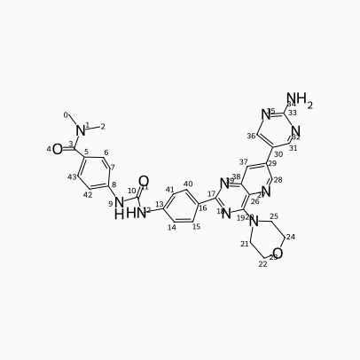 CN(C)C(=O)c1ccc(NC(=O)Nc2ccc(-c3nc(N4CCOCC4)c4ncc(-c5cnc(N)nc5)cc4n3)cc2)cc1